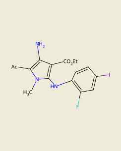 CCOC(=O)c1c(N)c(C(C)=O)n(C)c1Nc1ccc(I)cc1F